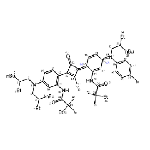 CCCCC(CC)CN(CC(CC)CCCC)c1ccc(C2=C([O-])/C(=C3C=C/C(=[N+](\CC(CC)CCCC)c4ccc(C)cc4)C=C/3NC(=O)C(C)(C)CC)C2=O)c(NC(=O)C(C)(C)CC)c1